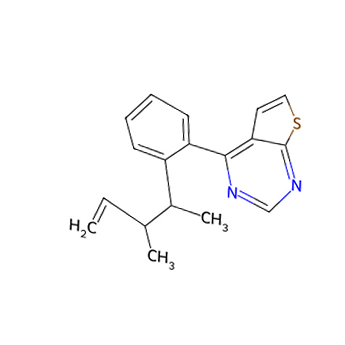 C=CC(C)C(C)c1ccccc1-c1ncnc2sccc12